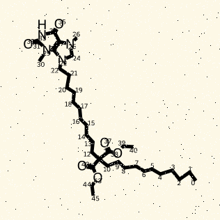 CCCCCCCCCCCC(CCCCCCCCCCCN1CN(C)c2c1n(C)c(=O)[nH]c2=O)(C(=O)OCC)C(=O)OCC